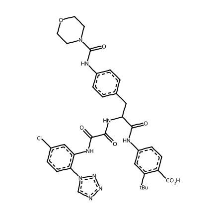 CC(C)(C)c1cc(NC(=O)C(Cc2ccc(NC(=O)N3CCOCC3)cc2)NC(=O)C(=O)Nc2cc(Cl)ccc2-n2cnnn2)ccc1C(=O)O